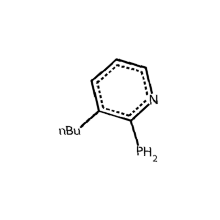 CCCCc1cccnc1P